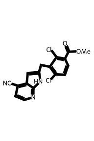 COC(=O)c1ccc(Cl)c(Cc2cc3c(C#N)ccnc3[nH]2)c1Cl